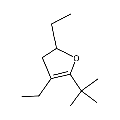 CCC1=C(C(C)(C)C)OC(CC)C1